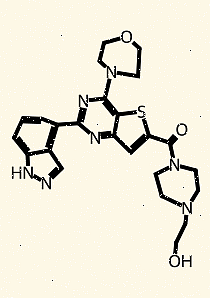 O=C(c1cc2nc(-c3cccc4[nH]ncc34)nc(N3CCOCC3)c2s1)N1CCN(CCO)CC1